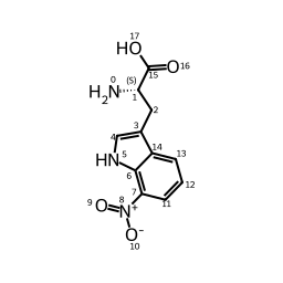 N[C@@H](Cc1c[nH]c2c([N+](=O)[O-])cccc12)C(=O)O